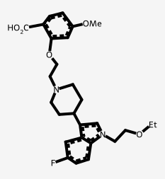 CCOCCn1cc(C2CCN(CCOc3cc(OC)ccc3C(=O)O)CC2)c2cc(F)ccc21